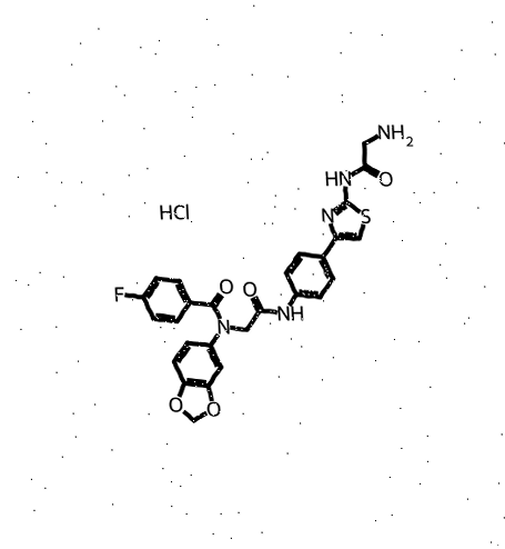 Cl.NCC(=O)Nc1nc(-c2ccc(NC(=O)CN(C(=O)c3ccc(F)cc3)c3ccc4c(c3)OCO4)cc2)cs1